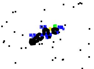 Nc1cc(N2CCC3(CC2)Cc2ccccc2C3N)n2ncnc2c1Sc1ccnc(N)c1Cl